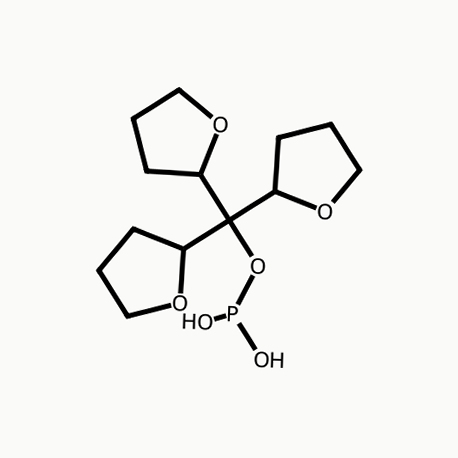 OP(O)OC(C1CCCO1)(C1CCCO1)C1CCCO1